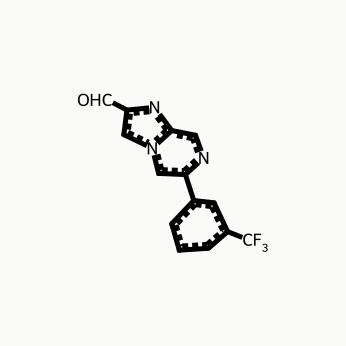 O=Cc1cn2cc(-c3cccc(C(F)(F)F)c3)ncc2n1